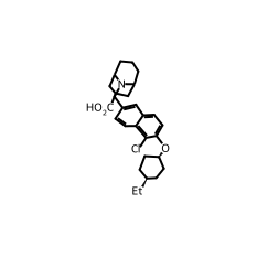 CC[C@H]1CC[C@@H](Oc2ccc3cc(CN4C5CCCC4CC(C(=O)O)C5)ccc3c2Cl)CC1